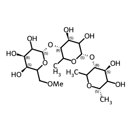 COCC1O[C@@H](O[C@H]2C(C)O[C@@H](O[C@H]3C(C)O[C@@H](C)C(O)[C@@H]3O)C(O)[C@@H]2O)C(O)[C@H](O)[C@@H]1O